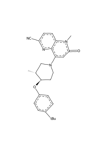 C[C@@H]1CN(c2cc(=O)n(C)c3ccc(C#N)nc23)CC[C@H]1Oc1ccc(C(C)(C)C)cc1